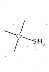 [CH3][Cr]([CH3])([CH3])[SiH3]